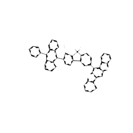 CC1(C)c2ccc(-c3c4oc5ccccc5c4cc4oc5ccccc5c34)cc2-c2ccc(-c3c4ccccc4c(-c4ccccc4)c4ccccc34)cc21